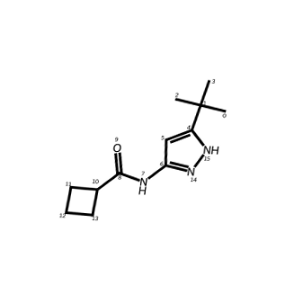 CC(C)(C)c1cc(NC(=O)C2CCC2)n[nH]1